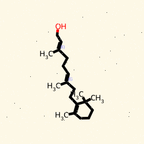 CC1=C(CC/C(C)=C/CC/C(C)=C/CO)C(C)(C)CCC1